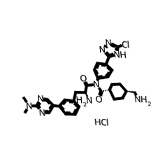 CN(C)c1ncc(-c2cccc(C[C@H](N)C(=O)N(c3ccc(-c4nnc(Cl)[nH]4)cc3)C(=O)[C@H]3CC[C@H](CN)CC3)c2)cn1.Cl